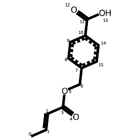 CC=CC(=O)OCc1ccc(C(=O)O)cc1